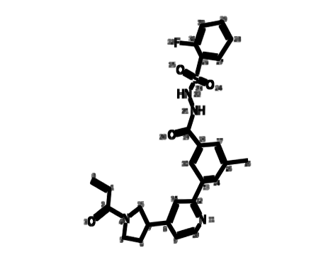 C=CC(=O)N1CCC(c2ccnc(-c3cc(C)cc(C(=O)NNS(=O)(=O)c4ccccc4F)c3)c2)C1